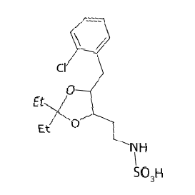 CCC1(CC)OC(CCNS(=O)(=O)O)C(Cc2ccccc2Cl)O1